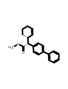 COC(=O)[C@@H](c1ccc(-c2ccccc2)cc1)[C@H]1C=CCCC1